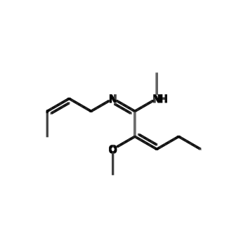 C/C=C\C/N=C(NC)\C(=C/CC)OC